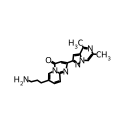 Cc1cn2nc(-c3cc(=O)n4cc(CCCN)ccc4n3)cc2c(C)n1